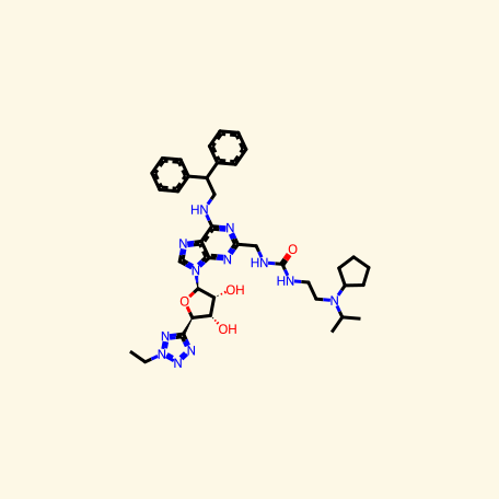 CCn1nnc([C@H]2O[C@@H](n3cnc4c(NCC(c5ccccc5)c5ccccc5)nc(CNC(=O)NCCN(C(C)C)C5CCCC5)nc43)[C@H](O)[C@@H]2O)n1